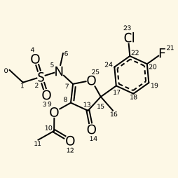 CCS(=O)(=O)N(C)C1=C(OC(C)=O)C(=O)C(C)(c2ccc(F)c(Cl)c2)O1